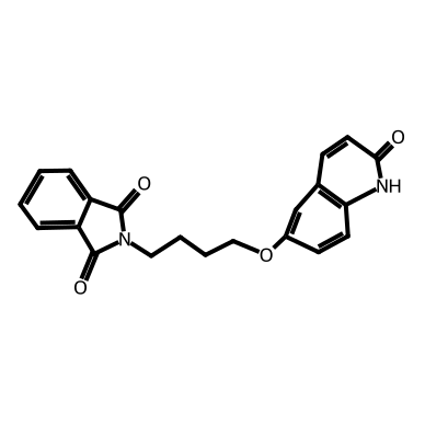 O=C1c2ccccc2C(=O)N1CCCCOc1ccc2[nH]c(=O)ccc2c1